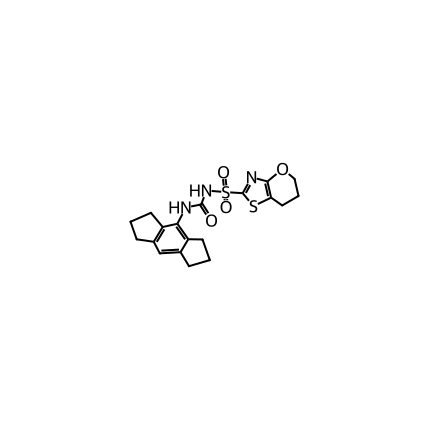 O=C(Nc1c2c(cc3c1CCC3)CCC2)NS(=O)(=O)c1nc2c(s1)CCCO2